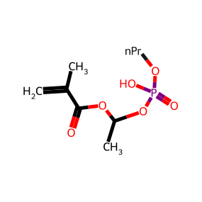 C=C(C)C(=O)OC(C)OP(=O)(O)OCCC